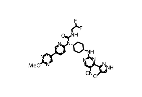 COc1ncc(-c2ccc(N(C(=O)NCC(F)F)[C@H]3CC[C@H](Nc4ncc(C#N)c(-c5n[nH]cc5Cl)n4)CC3)nc2)cn1